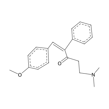 COc1ccc(/C=C(\C(=O)CCN(C)C)c2ccccc2)cc1